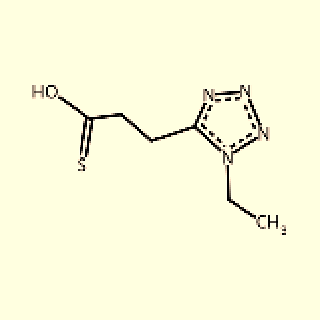 CCn1nnnc1CCC(O)=S